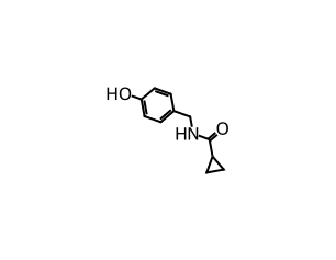 O=C(NCc1ccc(O)cc1)C1CC1